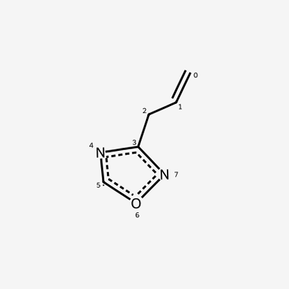 C=CCc1n[c]on1